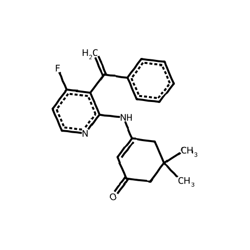 C=C(c1ccccc1)c1c(F)ccnc1NC1=CC(=O)CC(C)(C)C1